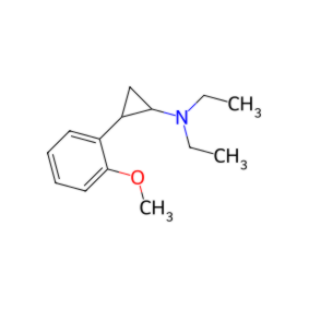 CCN(CC)C1CC1c1ccccc1OC